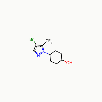 OC1CCC(n2ncc(Br)c2C(F)(F)F)CC1